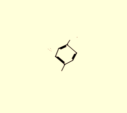 N.O=C([O-])c1ccc(C(=O)O)cc1.[Na+]